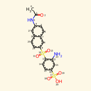 CC(=O)Nc1ccc2cc(S(=O)(=O)c3ccc(S(=O)(=O)O)cc3N)ccc2c1